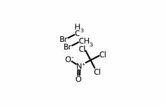 CBr.CBr.O=[N+]([O-])C(Cl)(Cl)Cl